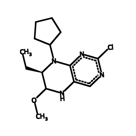 CC[C@@H]1C(OC)Nc2cnc(Cl)nc2N1C1CCCC1